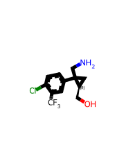 NCC1(c2ccc(Cl)c(C(F)(F)F)c2)C[C@H]1CO